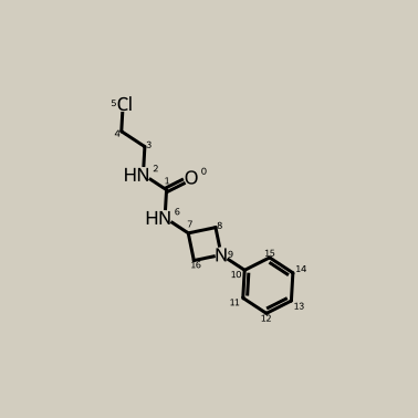 O=C(NCCCl)NC1CN(c2ccccc2)C1